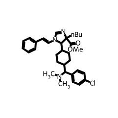 CCCCC1(C(=O)OC)N=CN(C=Cc2ccccc2)C1C1CCC(C(c2ccc(Cl)cc2)N(C)C)CC1